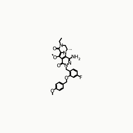 CCN1C[C@H](C)n2c(c(OC)c3c(=O)n(Cc4ccc(F)cc4OCc4ccc(OC)cc4)nc(N)c32)C1=O